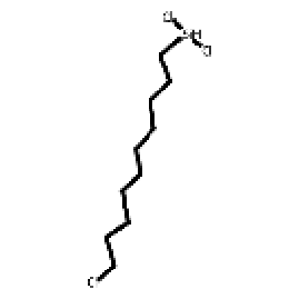 ClCCCCCCCCCC[SiH](Cl)Cl